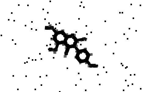 COc1ccc(-n2c(C(C)C)nc3cc(OC)cc(OC)c3c2=O)cc1